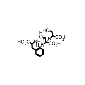 NC(CO)C(=O)O.NC(CO)C(=O)O.NC(Cc1ccccc1)C(=O)O